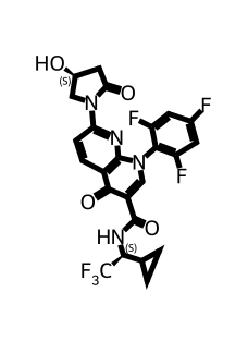 O=C(N[C@@H](C1CC1)C(F)(F)F)c1cn(-c2c(F)cc(F)cc2F)c2nc(N3C[C@@H](O)CC3=O)ccc2c1=O